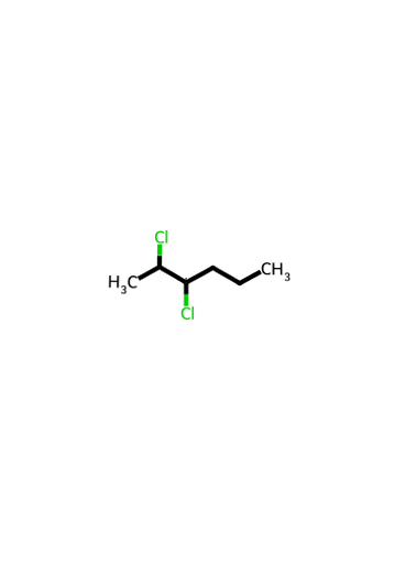 CCC[C](Cl)C(C)Cl